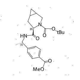 COC(=O)c1ccc([C@H](C)NC(=O)[C@H]2CC3CC3CN2C(=O)OC(C)(C)C)cc1